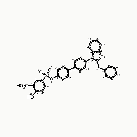 O=C(O)c1cc(S(=O)(=O)Oc2ccc(-c3ccc(-c4c(Cc5ccccc5)oc5ccccc45)cc3)cc2)ccc1O